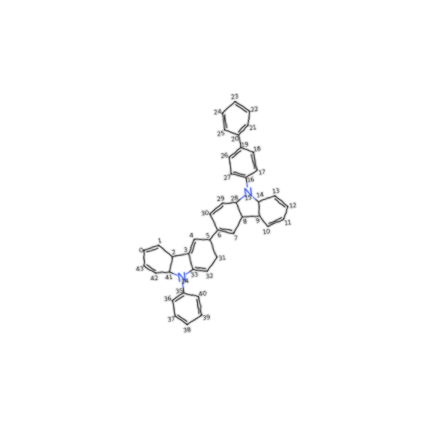 C1=CC2C3=CC(C4=CC5C6C=CC=CC6N(c6ccc(-c7ccccc7)cc6)C5C=C4)CC=C3N(c3ccccc3)C2C=C1